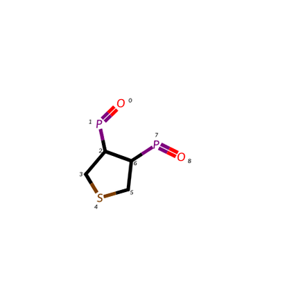 O=PC1CSCC1P=O